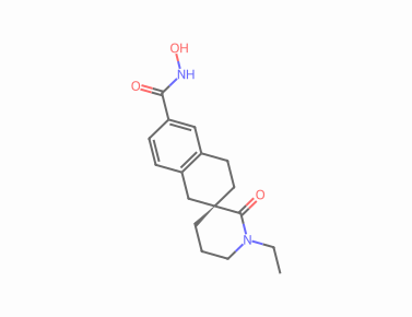 CCN1CCC[C@@]2(CCc3cc(C(=O)NO)ccc3C2)C1=O